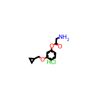 Cl.NCC(=O)Oc1cccc(OCC2CC2)c1